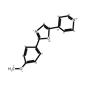 COc1ccc(-c2ncc(-c3ccncc3)o2)cc1